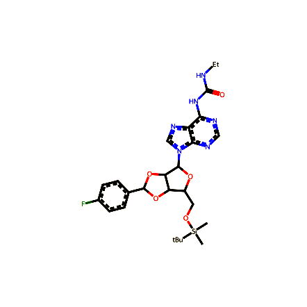 CCNC(=O)Nc1ncnc2c1ncn2C1OC(CO[Si](C)(C)C(C)(C)C)C2OC(c3ccc(F)cc3)OC21